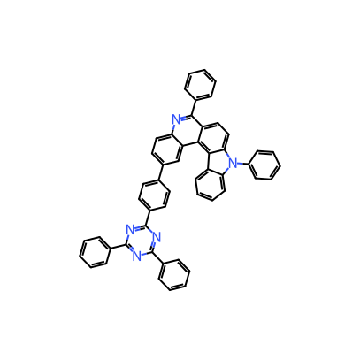 c1ccc(-c2nc(-c3ccccc3)nc(-c3ccc(-c4ccc5nc(-c6ccccc6)c6ccc7c(c8ccccc8n7-c7ccccc7)c6c5c4)cc3)n2)cc1